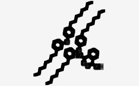 CCCCCCCCc1ccc(Oc2cccc(CCCCCCCC)c2)cc1.CCCCCCCCc1ccc(Oc2cccc(CCCCCCCC)c2)cc1.O=C(O)c1ccccc1C(=O)O